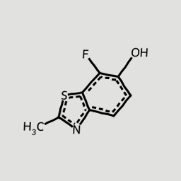 Cc1nc2ccc(O)c(F)c2s1